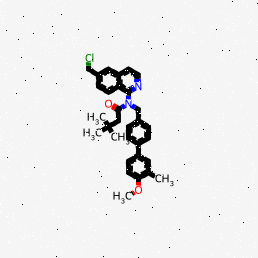 COc1ccc(-c2ccc(CN(C(=O)CC(C)(C)C)c3nccc4cc(CCl)ccc34)cc2)cc1C